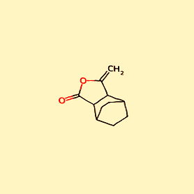 C=C1OC(=O)C2C3CCC(CC3)C12